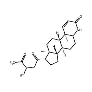 CC(C)C(CC(=O)[C@H]1CC[C@H]2[C@@H]3CCC4NC(=O)C=C[C@]4(C)[C@H]3CC[C@]12C)C(=O)C(F)(F)F